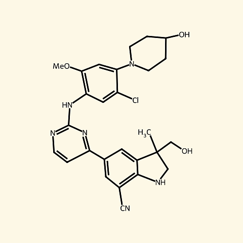 COc1cc(N2CCC(O)CC2)c(Cl)cc1Nc1nccc(-c2cc(C#N)c3c(c2)C(C)(CO)CN3)n1